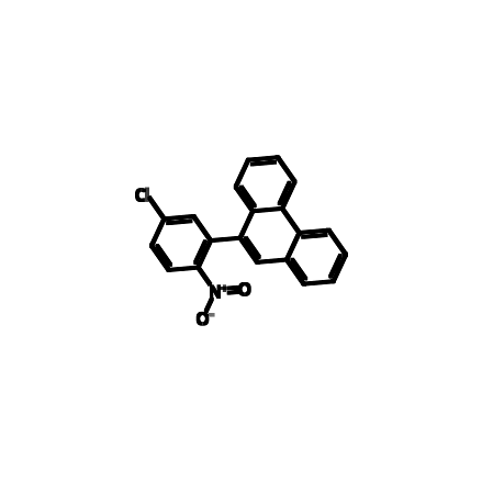 O=[N+]([O-])c1ccc(Cl)cc1-c1cc2ccccc2c2ccccc12